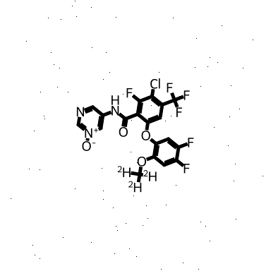 [2H]C([2H])([2H])Oc1cc(F)c(F)cc1Oc1cc(C(F)(F)F)c(Cl)c(F)c1C(=O)Nc1cnc[n+]([O-])c1